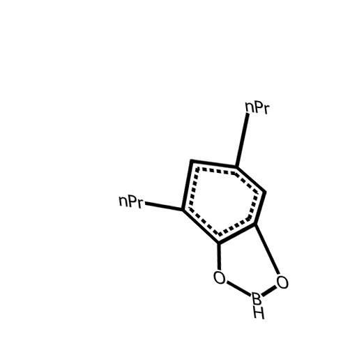 CCCc1cc(CCC)c2c(c1)OBO2